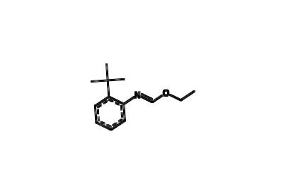 CCOC=Nc1ccccc1C(C)(C)C